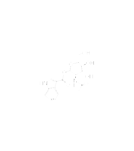 CC(=O)N[C@H]1C(OC(=O)c2c[nH]c3ccccc23)O[C@H](CO)[C@@H](O)[C@@H]1O